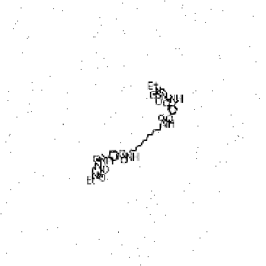 CCN1CCN(C(=O)NC(C)c2ccc(OC(=O)NCCCCCCCCCCCNC(=O)Oc3ccc(C(C)NC(=O)N4CCN(CC)C(=O)C4=O)cc3)cc2)C(=O)C1=O